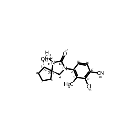 Cc1c(N2C[C@]3(CCC[C@@H]3O)N(C)C2=O)ccc(C#N)c1Cl